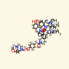 Cc1c(C(=O)N(c2ccc(O)cc2)c2cc(C#N)n(C)c2C)c(-c2cc3c(cc2C(=O)N2Cc4ccccc4C[C@H]2C)CN(C(=O)Cc2ccc(OCCN4CCN5CCOC[C@@H]5C4)cc2)CC3)cn1C